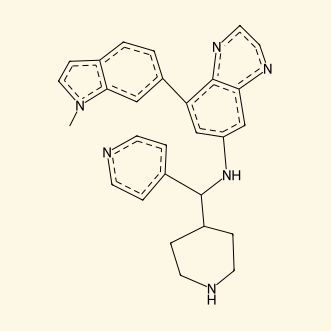 Cn1ccc2ccc(-c3cc(NC(c4ccncc4)C4CCNCC4)cc4nccnc34)cc21